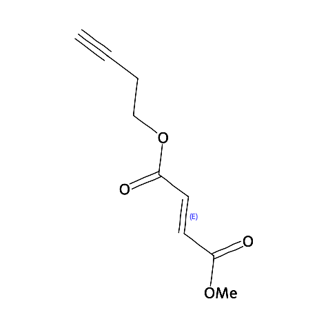 C#CCCOC(=O)/C=C/C(=O)OC